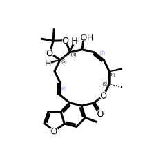 Cc1cc2occc2c2c1C(=O)O[C@@H](C)[C@H](C)/C=C\C(O)[C@H]1OC(C)(C)O[C@H]1C/C=C/2